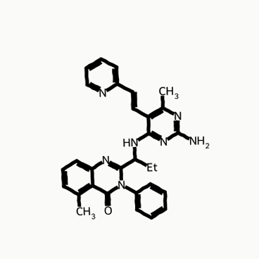 CCC(Nc1nc(N)nc(C)c1/C=C/c1ccccn1)c1nc2cccc(C)c2c(=O)n1-c1ccccc1